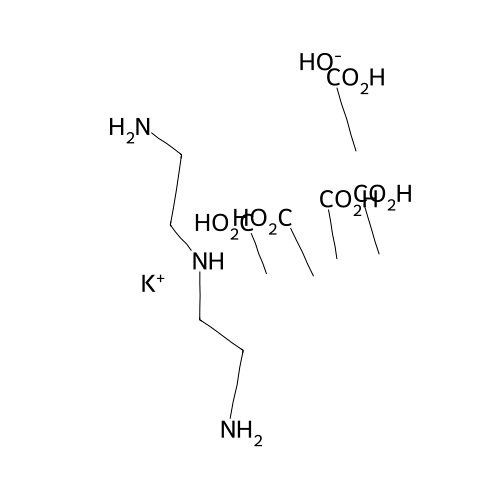 CC(=O)O.CC(=O)O.CC(=O)O.CC(=O)O.CC(=O)O.NCCNCCN.[K+].[OH-]